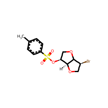 Cc1ccc(S(=O)(=O)O[C@H]2COC3[C@H]2OC[C@@H]3Br)cc1